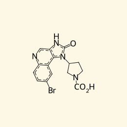 O=C(O)N1CCC(n2c(=O)[nH]c3cnc4ccc(Br)cc4c32)C1